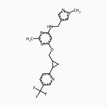 Cc1nc(NCc2cnn(C)c2)cc(OCC2CC2c2ccc(C(F)(F)F)cn2)n1